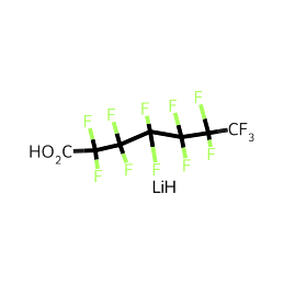 O=C(O)C(F)(F)C(F)(F)C(F)(F)C(F)(F)C(F)(F)C(F)(F)F.[LiH]